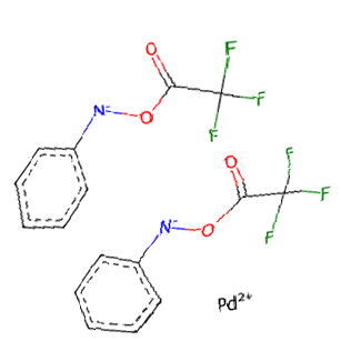 O=C(O[N-]c1ccccc1)C(F)(F)F.O=C(O[N-]c1ccccc1)C(F)(F)F.[Pd+2]